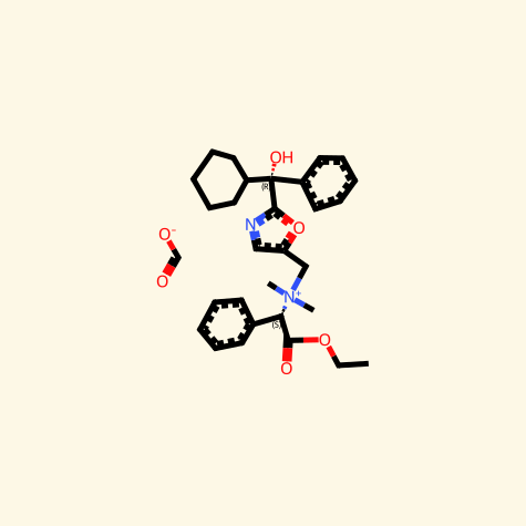 CCOC(=O)[C@H](c1ccccc1)[N+](C)(C)Cc1cnc([C@](O)(c2ccccc2)C2CCCCC2)o1.O=C[O-]